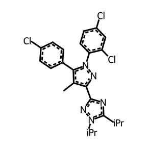 Cc1c(-c2nc(C(C)C)n(C(C)C)n2)nn(-c2ccc(Cl)cc2Cl)c1-c1ccc(Cl)cc1